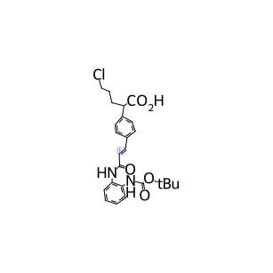 CC(C)(C)OC(=O)Nc1ccccc1NC(=O)/C=C/c1ccc(C(CCCCl)C(=O)O)cc1